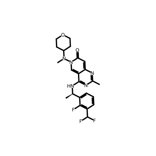 Cc1nc(N[C@H](C)c2cccc(C(F)F)c2F)c2cn(N(C)C3CCOCC3)c(=O)cc2n1